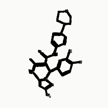 CC1=C(C(=O)Nc2ccc(N3CCOCC3)cc2)C(c2ccc(Cl)c(Cl)c2)n2nc(C(F)(F)F)cc2N1